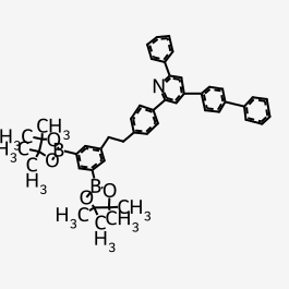 CC1(C)OB(c2cc(CCc3ccc(-c4cc(-c5ccc(-c6ccccc6)cc5)cc(-c5ccccc5)n4)cc3)cc(B3OC(C)(C)C(C)(C)O3)c2)OC1(C)C